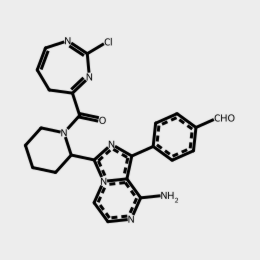 Nc1nccn2c(C3CCCCN3C(=O)C3=NC(Cl)=NC=CC3)nc(-c3ccc(C=O)cc3)c12